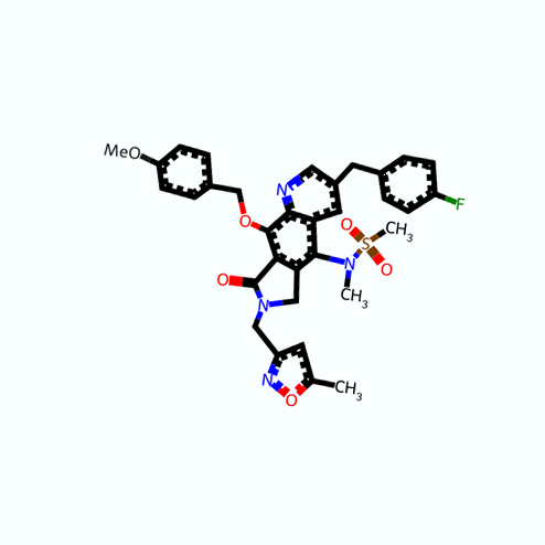 COc1ccc(COc2c3c(c(N(C)S(C)(=O)=O)c4cc(Cc5ccc(F)cc5)cnc24)CN(Cc2cc(C)on2)C3=O)cc1